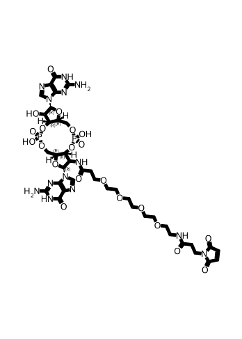 Nc1nc2c(ncn2[C@@H]2O[C@@H]3COP(=O)(O)O[C@@H]4C(NC(=O)CCOCCOCCOCCOCCNC(=O)CCN5C(=O)C=CC5=O)[C@H](n5cnc6c(=O)[nH]c(N)nc65)O[C@@H]4COP(=O)(O)O[C@@H]3C2O)c(=O)[nH]1